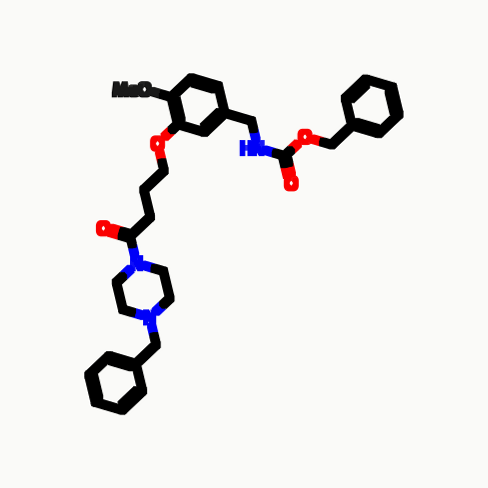 COc1ccc(CNC(=O)OCc2ccccc2)cc1OCCCC(=O)N1CCN(Cc2ccccc2)CC1